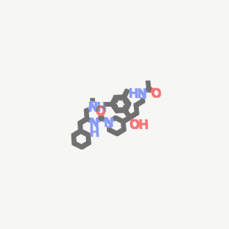 CNCC(CC1CCCCC1)NC(=O)N1CCCC(C(O)(CCCNC(C)=O)c2cc(C)cc(C)c2)C1